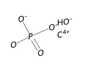 O=P([O-])([O-])[O-].[C+4].[OH-]